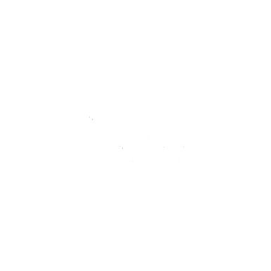 CC1(C)c2cc3ccccc3cc2-c2c1ccc1c3ccccc3n(-c3cccc4ncsc34)c21